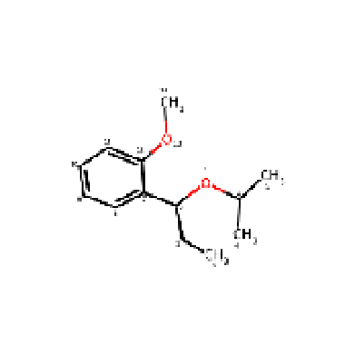 CC[C@H](OC(C)C)c1ccccc1OC